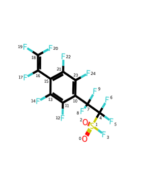 O=S(=O)(F)C(F)(F)C(F)(F)c1c(F)c(F)c(C(F)=C(F)F)c(F)c1F